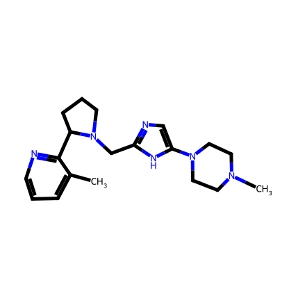 Cc1cccnc1C1CCCN1Cc1ncc(N2CCN(C)CC2)[nH]1